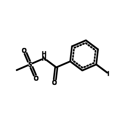 CS(=O)(=O)NC(=O)c1cccc(I)c1